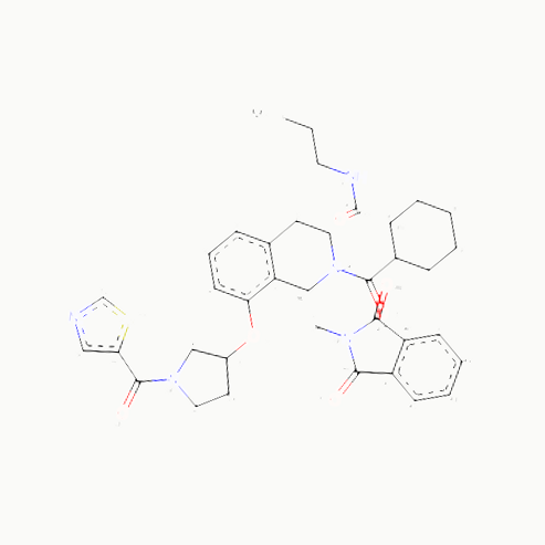 COCCNC(=O)[C@@H]1CCCCC1C(=O)N1CCc2cccc(OC3CCN(C(=O)c4cncs4)C3)c2[C@H]1CN1C(=O)c2ccccc2C1=O